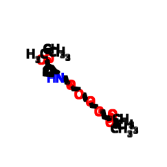 CC(C)(C)OC(=O)CCOCCOCCOCCOCCNCc1cccc(C(=O)OC(C)(C)C)c1